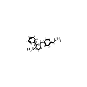 CCc1ccc(CN2CCC(N)C2c2ccccc2)cc1